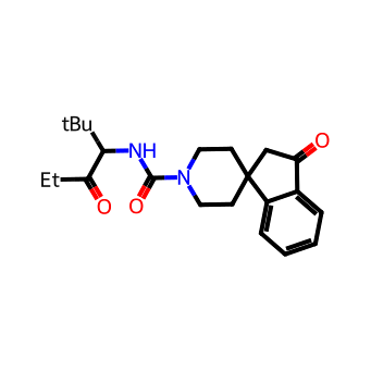 CCC(=O)C(NC(=O)N1CCC2(CC1)CC(=O)c1ccccc12)C(C)(C)C